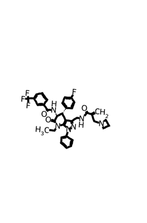 C=C(CN1CCC1)C(=O)NCc1nn(-c2ccccc2)c2c1[C@@H](c1ccc(F)cc1)[C@@H](NC(=O)c1cccc(C(F)(F)F)c1)C(=O)N2CC